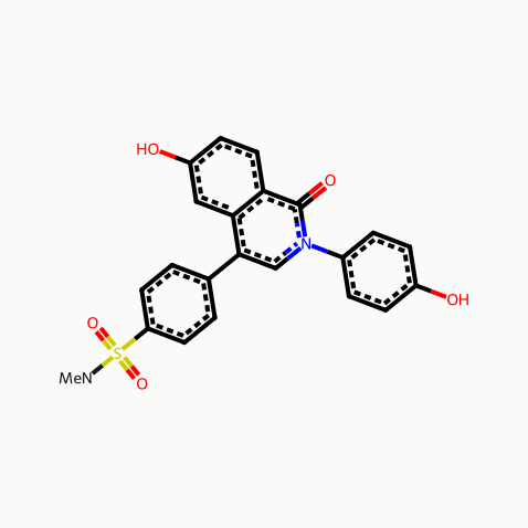 CNS(=O)(=O)c1ccc(-c2cn(-c3ccc(O)cc3)c(=O)c3ccc(O)cc23)cc1